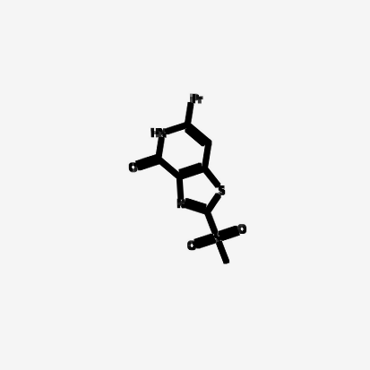 CC(C)c1cc2sc(S(C)(=O)=O)nc2c(=O)[nH]1